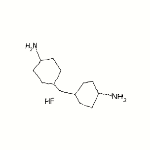 F.NC1CCC(CC2CCC(N)CC2)CC1